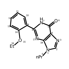 CCCn1cnc2c(=O)[nH]c(-c3ccccc3OCC)nc21